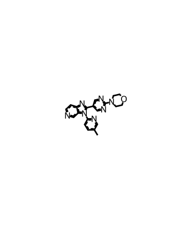 Cc1ccc(-n2c(-c3cnc(N4CCOCC4)nc3)nc3ccncc32)nc1